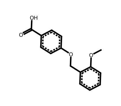 COc1ccccc1COc1ccc(C(=O)O)cc1